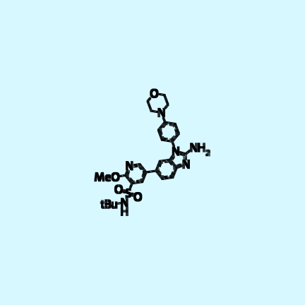 COc1ncc(-c2ccc3nc(N)n(-c4ccc(N5CCOCC5)cc4)c3c2)cc1S(=O)(=O)NC(C)(C)C